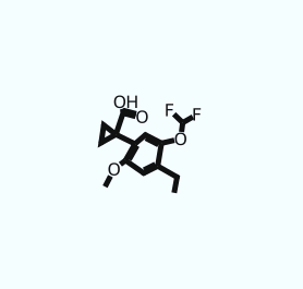 CCc1cc(OC)c(C2(C(=O)O)CC2)cc1OC(F)F